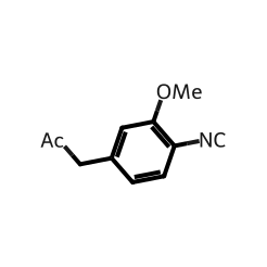 [C-]#[N+]c1ccc(CC(C)=O)cc1OC